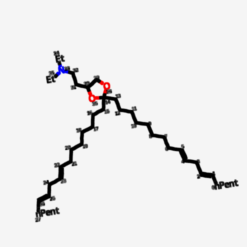 CCCCCC=CCC=CCCCCCCCCC1(CCCCCCCC=CCC=CCCCCC)OCC(CCN(CC)CC)O1